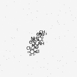 CS(=O)(=O)c1ccc(Nc2oc(-c3c(Cl)cccc3Cl)nc2OC(N)=O)cc1